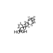 OB(O)c1cccc2c1oc1cc3c(cc12)C1CC2CC4CC3CC42C1